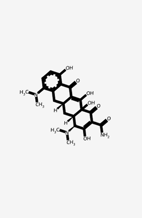 CN(C)c1ccc(O)c2c1C[C@H]1C[C@H]3[C@H](N(C)C)C(O)=C(C(N)=O)C(=O)C3(O)C(O)=C1C2=O